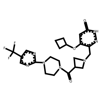 O=C(C1CN(Cc2n[nH]c(=O)cc2OC2CCC2)C1)N1CCN(c2ncc(C(F)(F)F)cn2)CC1